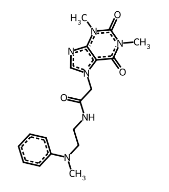 CN(CCNC(=O)Cn1cnc2c1c(=O)n(C)c(=O)n2C)c1ccccc1